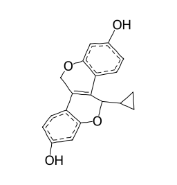 Oc1ccc2c(c1)OC(C1CC1)C1=C2COc2cc(O)ccc21